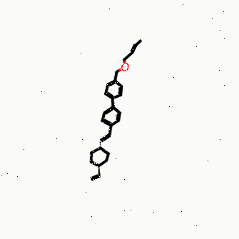 C=C[C@H]1CC[C@H](/C=C/c2ccc(-c3ccc(COC/C=C/C)cc3)cc2)CC1